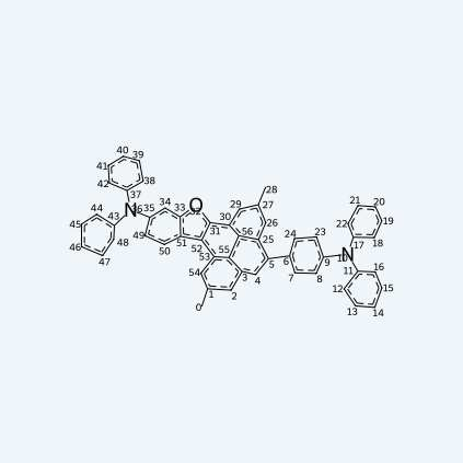 Cc1cc2cc(-c3ccc(N(c4ccccc4)c4ccccc4)cc3)c3cc(C)cc4c5oc6cc(N(c7ccccc7)c7ccccc7)ccc6c5c(c1)c2c34